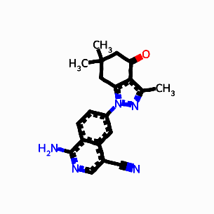 Cc1nn(-c2ccc3c(N)ncc(C#N)c3c2)c2c1C(=O)CC(C)(C)C2